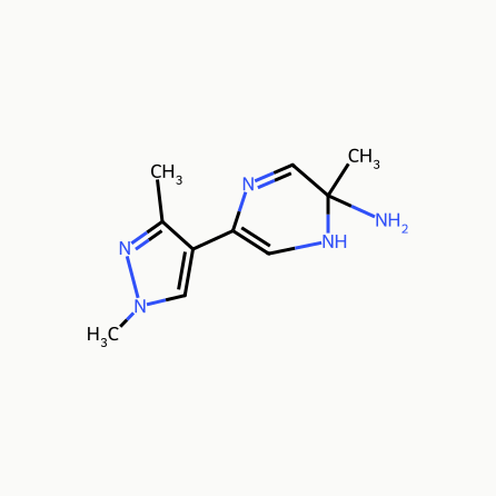 Cc1nn(C)cc1C1=CNC(C)(N)C=N1